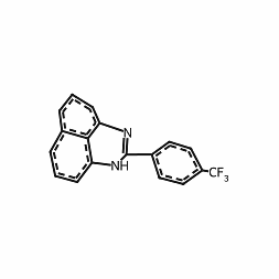 FC(F)(F)c1ccc(C2=Nc3cccc4cccc(c34)N2)cc1